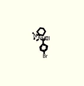 CN(C)C1(N(C)C(=O)c2ccc(Br)cc2)CCCCC1.Cl